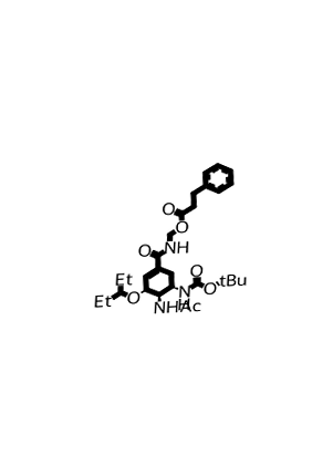 CCC(CC)O[C@@H]1C=C(C(=O)NCOC(=O)CCc2ccccc2)C[C@H](NC(=O)OC(C)(C)C)[C@H]1NC(C)=O